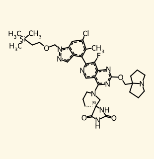 Cc1c(Cl)cc2c(cnn2COCC[Si](C)(C)C)c1-c1ncc2c(N3CCC[C@]4(C3)NC(=O)NC4=O)nc(OCC34CCCN3CCC4)nc2c1F